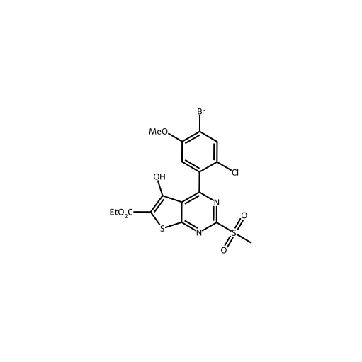 CCOC(=O)c1sc2nc(S(C)(=O)=O)nc(-c3cc(OC)c(Br)cc3Cl)c2c1O